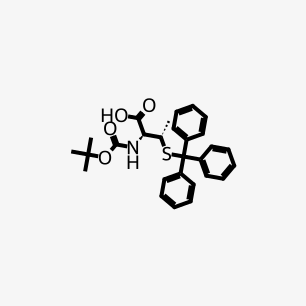 C[C@H](SC(c1ccccc1)(c1ccccc1)c1ccccc1)[C@H](NC(=O)OC(C)(C)C)C(=O)O